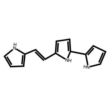 C(=Cc1ccc(-c2ccc[nH]2)[nH]1)c1ccc[nH]1